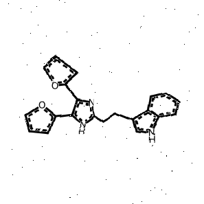 c1coc(-c2nc(CCc3c[nH]c4ccccc34)[nH]c2-c2ccco2)c1